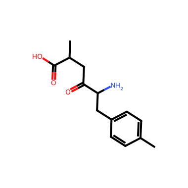 Cc1ccc(CC(N)C(=O)CC(C)C(=O)O)cc1